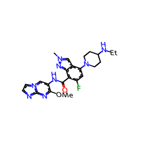 CCNC1CCN(c2cc(F)c(C(=O)Nc3cn4ccnc4nc3OC)c3nn(C)cc23)CC1